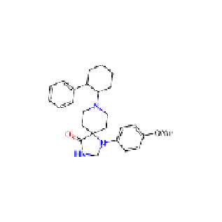 COc1ccc(N2CNC(=O)C23CCN(C2CCCCC2c2ccccc2)CC3)cc1